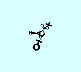 CC(C)(C)OC(=O)N1CC2N(C(C)(C)c3ccccc3)C23C(C#N)C13